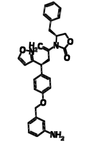 C=C(C[C@@H](c1ccc(OCc2cccc(N)c2)cc1)c1ccon1)N1C(=O)OC[C@@H]1Cc1ccccc1